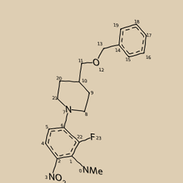 CNc1c([N+](=O)[O-])ccc(N2CCC(COCc3ccccc3)CC2)c1F